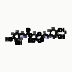 CC1=C(O)C=C(/C=C/C(=O)O[C@@H](COC(=O)/C=C/c2ccc(O)c(O)c2)C(=O)O)CC1